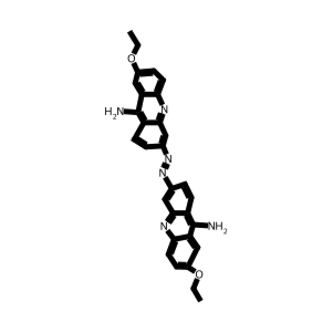 CCOc1ccc2nc3cc(N=Nc4ccc5c(N)c6cc(OCC)ccc6nc5c4)ccc3c(N)c2c1